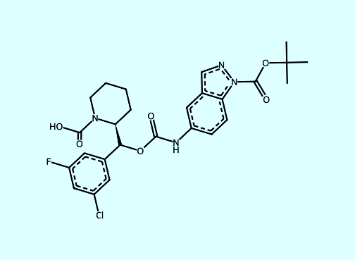 CC(C)(C)OC(=O)n1ncc2cc(NC(=O)OC(c3cc(F)cc(Cl)c3)[C@@H]3CCCCN3C(=O)O)ccc21